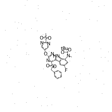 CN(C(=O)OC(C)(C)C)c1cc(F)cc2c1[nH]c1nc(Oc3cnc(S(C)(=O)=O)nc3)nc(S(=O)(=O)Cc3ccccc3)c12